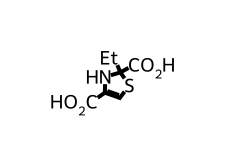 CCC1(C(=O)O)NC(C(=O)O)=CS1